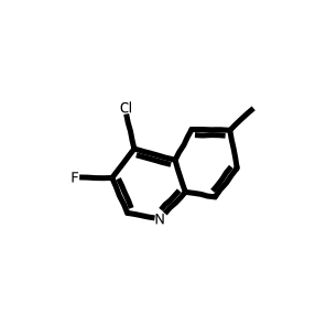 Cc1ccc2ncc(F)c(Cl)c2c1